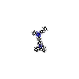 c1ccc(-c2ccc(-c3nc(-c4ccccc4)nc(-c4ccc(-c5ccc(-n6c7cc8ccccc8cc7c7c8ccccc8ccc76)cc5)cc4)n3)cc2)cc1